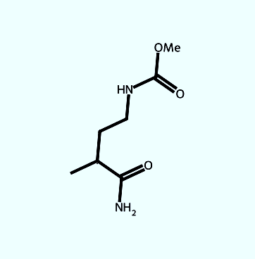 COC(=O)NCC[C](C)C(N)=O